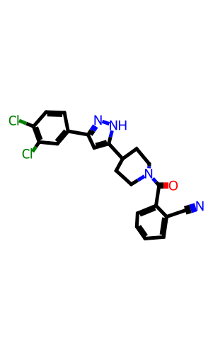 N#Cc1ccccc1C(=O)N1CCC(c2cc(-c3ccc(Cl)c(Cl)c3)n[nH]2)CC1